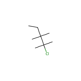 CCC(C)(C)C(C)(C)Cl